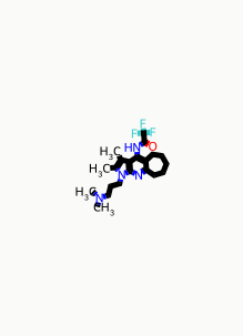 Cc1c(C)n(CCCN(C)C)c2nc3c(c(NC(=O)C(F)(F)F)c12)CCCCC3